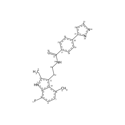 Cc1[nH]c2c(F)ccc(C)c2c1CCNC(=O)c1ccc(-c2csnn2)cc1